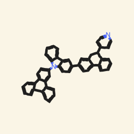 c1ccc2c(c1)-c1ccc(-c3ccc4c(c3)c3ccccc3n4-c3ccc4c5ccccc5c5ccccc5c4c3)cc1CC2c1ccncc1